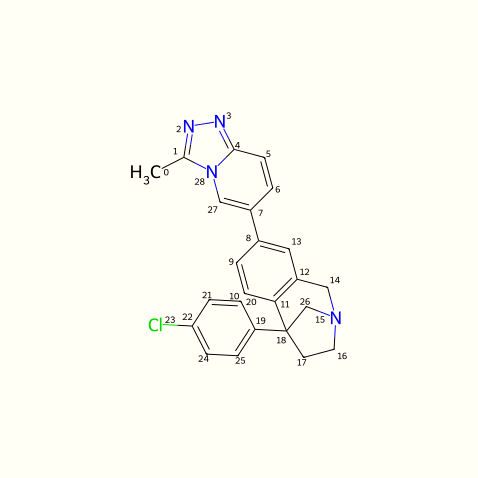 Cc1nnc2ccc(-c3ccc4c(c3)CN3CCC4(c4ccc(Cl)cc4)C3)cn12